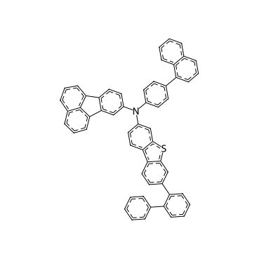 c1ccc(-c2ccccc2-c2ccc3c(c2)sc2cc(N(c4ccc(-c5cccc6ccccc56)cc4)c4ccc5c(c4)-c4cccc6cccc-5c46)ccc23)cc1